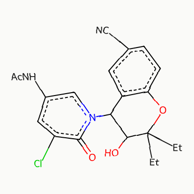 CCC1(CC)Oc2ccc(C#N)cc2C(n2cc(NC(C)=O)cc(Cl)c2=O)C1O